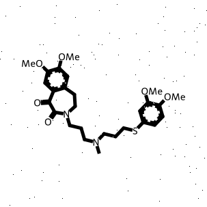 COc1ccc(SCCCN(C)CCCN2CCc3cc(OC)c(OC)cc3C(=O)C2=O)cc1OC